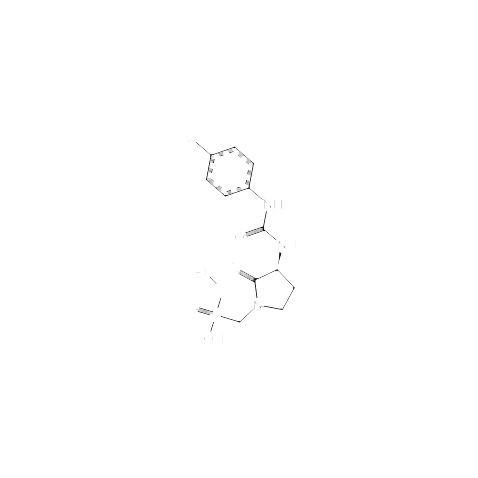 CCOP(=O)(O)CN1CC[C@H](NC(=O)Nc2ccc(Br)cc2)C1=O